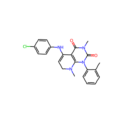 Cc1ccccc1-n1c2c(c(=O)n(C)c1=O)C(Nc1ccc(Cl)cc1)=CCN2C